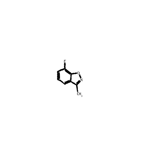 Cc1noc2c(F)cccc12